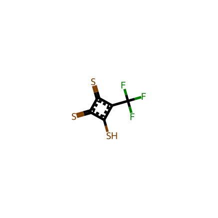 FC(F)(F)c1c(S)c(=S)c1=S